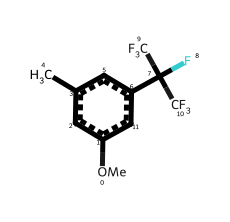 COc1[c]c(C)cc(C(F)(C(F)(F)F)C(F)(F)F)c1